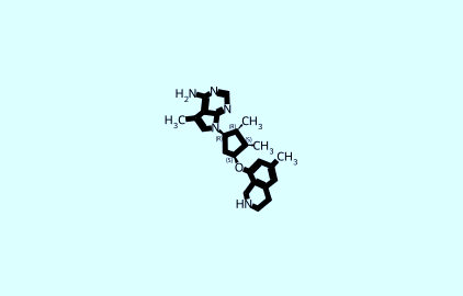 Cc1cc2c(c(O[C@H]3C[C@@H](n4cc(C)c5c(N)ncnc54)[C@H](C)[C@@H]3C)c1)CNCC2